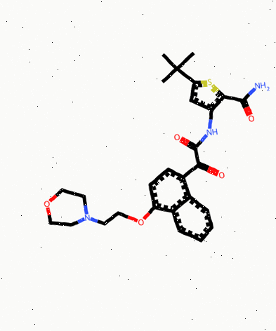 CC(C)(C)c1cc(NC(=O)C(=O)c2ccc(OCCN3CCOCC3)c3ccccc23)c(C(N)=O)s1